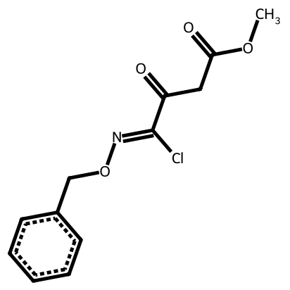 COC(=O)CC(=O)C(Cl)=NOCc1ccccc1